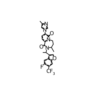 Cc1cn(-c2ccc3n(c2=O)CCC(C)N(C(C)c2coc4cc(C(F)(F)F)c(F)cc24)C3=O)cn1